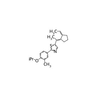 C/C=C1/CCC/C1=C(/C)c1cnc(-c2ccc(OC(C)C)c(C)c2)s1